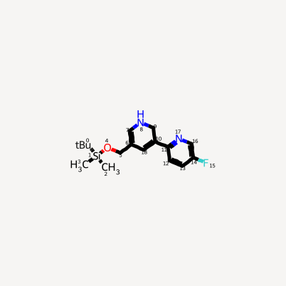 CC(C)(C)[Si](C)(C)OCC1=CNCC(c2ccc(F)cn2)=C1